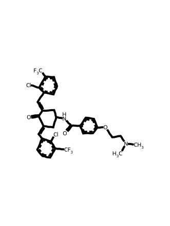 CN(C)CCOc1ccc(C(=O)NC2CC(=Cc3cccc(C(F)(F)F)c3Cl)C(=O)C(=Cc3cccc(C(F)(F)F)c3Cl)C2)cc1